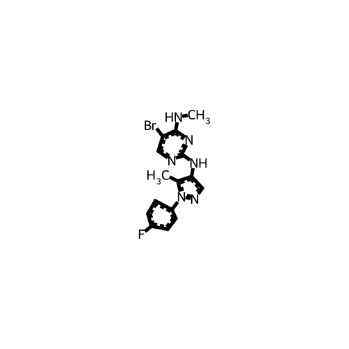 CNc1nc(Nc2cnn(-c3ccc(F)cc3)c2C)ncc1Br